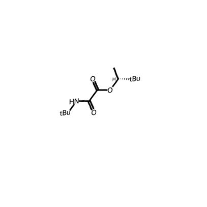 C[C@@H](OC(=O)C(=O)NC(C)(C)C)C(C)(C)C